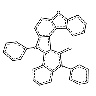 O=c1c2c3c4c(ccc3n(-c3ccccc3)c2c2ccccc2n1-c1ccccc1)oc1ccccc14